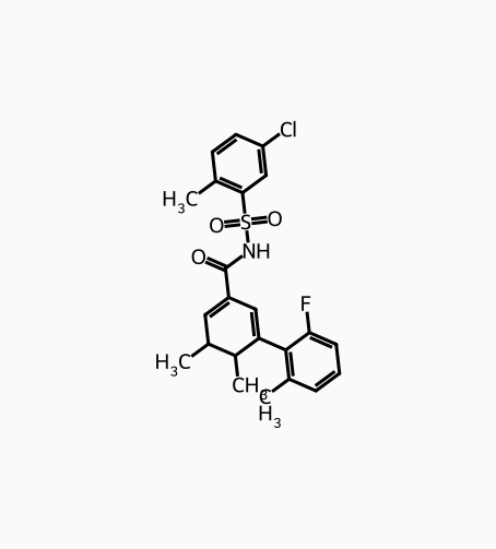 Cc1ccc(Cl)cc1S(=O)(=O)NC(=O)C1=CC(C)C(C)C(c2c(C)cccc2F)=C1